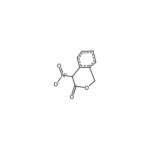 O=C1OCc2ccccc2C1[N+](=O)[O-]